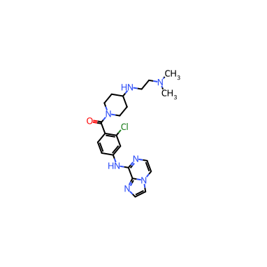 CN(C)CCNC1CCN(C(=O)c2ccc(Nc3nccn4ccnc34)cc2Cl)CC1